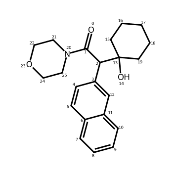 O=C(C(c1ccc2ccccc2c1)C1(O)CCCCC1)N1CCOCC1